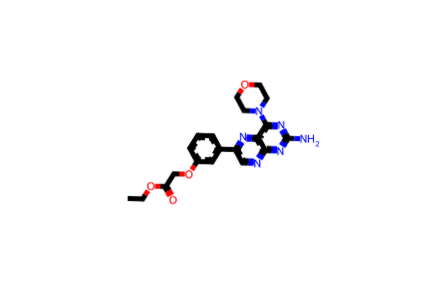 CCOC(=O)COc1cccc(-c2cnc3nc(N)nc(N4CCOCC4)c3n2)c1